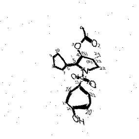 CC(=O)O[C@@H]1C(C2CCCC2)N(S(=O)(=O)c2ccc(O)cc2)C[C@H]1C